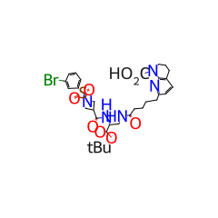 CC(C)(C)OC(=O)C(CNC(=O)CCCCc1ccc2c(n1)N(C(=O)O)CCC2)NC(=O)C1CN(S(=O)(=O)c2cccc(Br)c2)C1